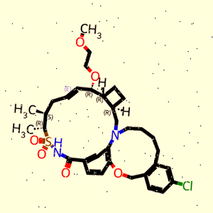 COCCO[C@H]1/C=C/C[C@H](C)[C@@H](C)S(=O)(=O)NC(=O)c2ccc3c(c2)N(CCCCc2cc(Cl)ccc2CO3)C[C@@H]2CC[C@H]21